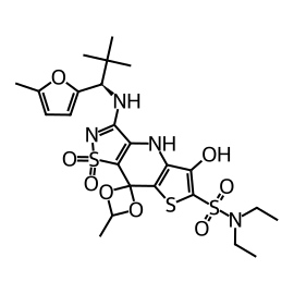 CCN(CC)S(=O)(=O)c1sc2c(c1O)NC1=C(C23OC(C)O3)S(=O)(=O)N=C1N[C@@H](c1ccc(C)o1)C(C)(C)C